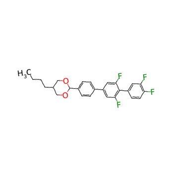 CCCCC1COC(c2ccc(-c3cc(F)c(-c4ccc(F)c(F)c4)c(F)c3)cc2)OC1